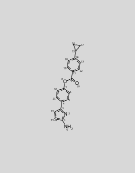 Nc1nc(-c2ccc(OC(=O)c3ccc(C4CC4)cc3)cc2)cs1